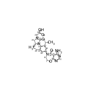 CCc1cc(N2CCOc3ncnc(N)c3C2=O)cc(CC)c1N1CCN(CC(=O)O)C1=O